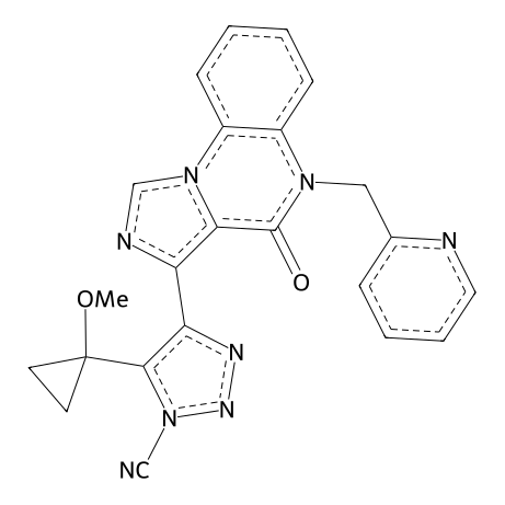 COC1(c2c(-c3ncn4c3c(=O)n(Cc3ccccn3)c3ccccc34)nnn2C#N)CC1